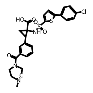 CN1CCN(C(=O)c2cccc(C3CC3(NS(=O)(=O)c3ccc(-c4ccc(Cl)cc4)s3)C(=O)O)c2)CC1